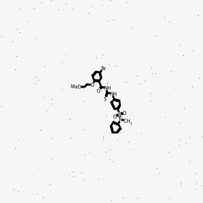 COCCOc1ccc(Br)cc1C(=O)NC(=S)Nc1ccc(S(=O)(=O)N(C)c2ccccc2)cc1